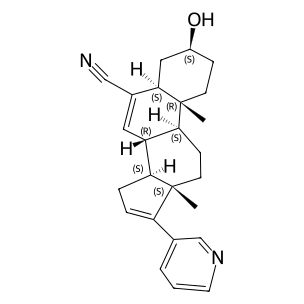 C[C@]12CC[C@H](O)C[C@@H]1C(C#N)=C[C@@H]1[C@@H]2CC[C@]2(C)C(c3cccnc3)=CC[C@@H]12